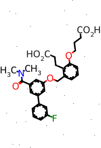 CN(C)C(=O)c1cc(OCc2cccc(OCCCC(=O)O)c2CCC(=O)O)cc(-c2cccc(F)c2)c1